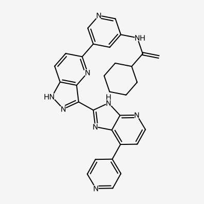 C=C(Nc1cncc(-c2ccc3[nH]nc(-c4nc5c(-c6ccncc6)ccnc5[nH]4)c3n2)c1)C1CCCCC1